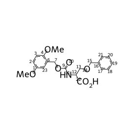 COc1ccc(OC)c(COC(=O)NC(COCc2ccccc2)C(=O)O)c1